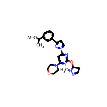 COC(C)c1cccc(-c2ccn(-c3cc(N4CCOCC4)nc(OC4CC=NN4C)n3)n2)c1